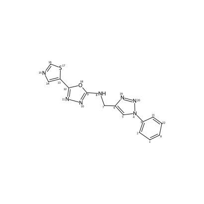 c1ccc(-n2cc(CNc3nnc(-c4cncs4)o3)nn2)cc1